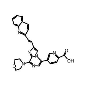 O=C(O)c1ccc(-c2cnc(N3CCOCC3)c3nc(/C=C/c4ccc5ccccc5n4)cn23)cn1